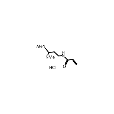 C=CC(=O)NCCC(NC)NC.Cl